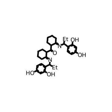 CCC(N=C1CCCCC1C(=O)C1CCCCC1=NC(CC)c1ccc(O)cc1O)c1ccc(O)cc1O